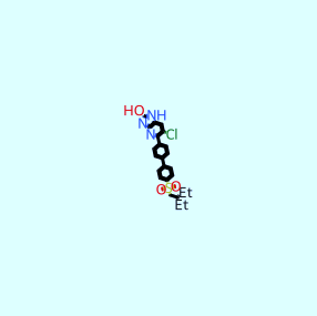 CCC(CC)CS(=O)(=O)c1ccc(-c2ccc(-c3nc4nc(O)[nH]c4cc3Cl)cc2)cc1